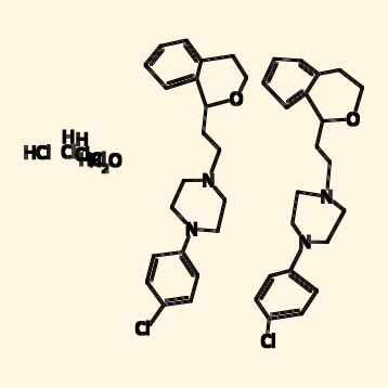 Cl.Cl.Cl.Cl.Clc1ccc(N2CCN(CCC3OCCc4ccccc43)CC2)cc1.Clc1ccc(N2CCN(CCC3OCCc4ccccc43)CC2)cc1.O